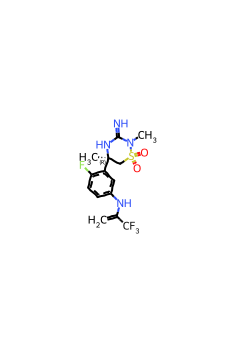 C=C(Nc1ccc(F)c([C@]2(C)CS(=O)(=O)N(C)C(=N)N2)c1)C(F)(F)F